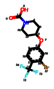 O=C(O)N1CCC(Oc2ccc(C(F)(F)F)c(Br)c2)CC1